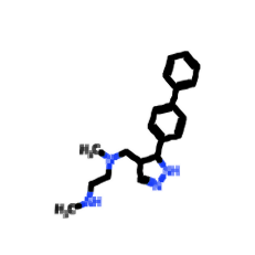 CNCCN(C)CC1C=NNC1c1ccc(-c2ccccc2)cc1